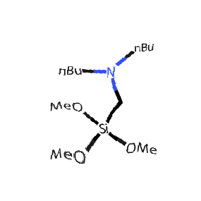 CCCCN(CCCC)C[Si](OC)(OC)OC